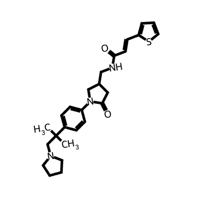 CC(C)(CN1CCCC1)c1ccc(N2CC(CNC(=O)/C=C/c3cccs3)CC2=O)cc1